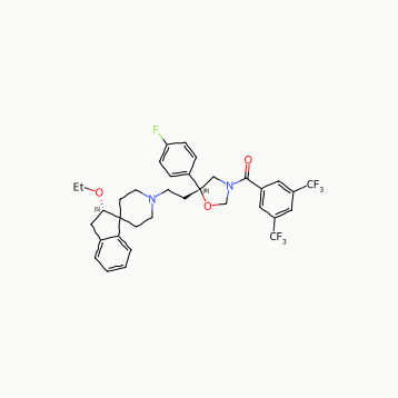 CCO[C@H]1Cc2ccccc2C12CCN(CC[C@@]1(c3ccc(F)cc3)CN(C(=O)c3cc(C(F)(F)F)cc(C(F)(F)F)c3)CO1)CC2